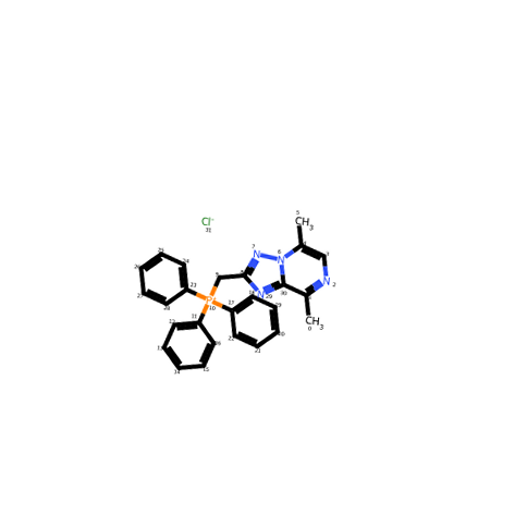 Cc1ncc(C)n2nc(C[P+](c3ccccc3)(c3ccccc3)c3ccccc3)nc12.[Cl-]